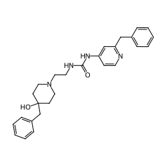 O=C(NCCN1CCC(O)(Cc2ccccc2)CC1)Nc1ccnc(Cc2ccccc2)c1